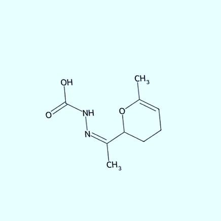 CC1=CCCC(/C(C)=N\NC(=O)O)O1